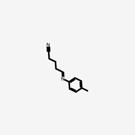 Cc1ccc(N=CCCCC#N)cc1